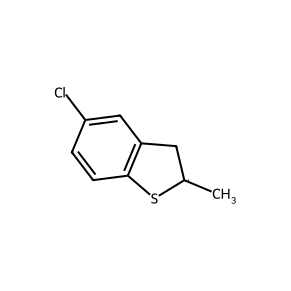 C[C]1Cc2cc(Cl)ccc2S1